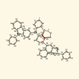 C1=CCCC(c2ccccc2N(c2ccc(-c3cc4nc(-c5ccccc5)oc4c4ccccc34)cc2)c2ccc3c(c2)c2ccccc2n3-c2ccccc2)=C1